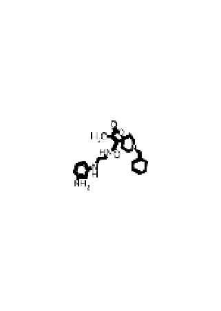 CC1=C(C(=O)NCCNc2cccc(N)c2)C2(CCN(CC3=CC=CCC3)CC2)OC1=O